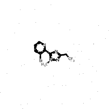 Cn1nc(CC(F)(F)F)nc1-c1ncccc1Br